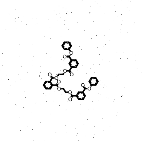 O=C(OCCOC(=O)c1ccccc1C(=O)OCCOC(=O)c1cccc(C(=O)Oc2ccccc2)c1)c1cccc(C(=O)Oc2ccccc2)c1